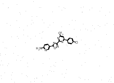 Nc1ccc(-c2nc(-c3nc(-c4ccc(Cl)cc4)cc(C(F)(F)F)n3)no2)cn1